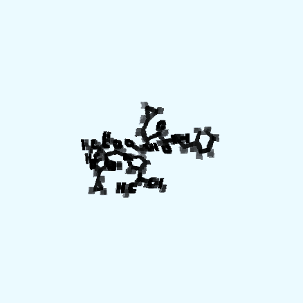 CC(C)[C@@H]1C[C@@H](C(=O)NC(CC2CC2)C(=O)C(=O)NCc2ccccc2)N(C(=O)[C@@H](NC(=O)C2CC2)C(C)(C)C)C1